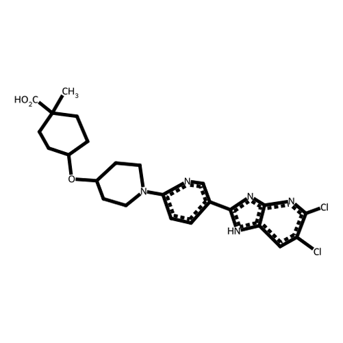 CC1(C(=O)O)CCC(OC2CCN(c3ccc(-c4nc5nc(Cl)c(Cl)cc5[nH]4)cn3)CC2)CC1